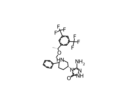 C[C@@H](OC[C@@]1(c2ccccc2)CC[C@@H](n2c(N)n[nH]c2=O)CN1)c1cc(C(F)(F)F)cc(C(F)(F)F)c1